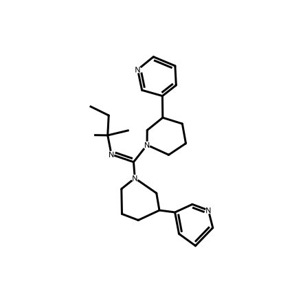 CCC(C)(C)N=C(N1CCCC(c2cccnc2)C1)N1CCCC(c2cccnc2)C1